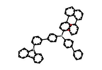 c1ccc(-c2ccc(N(c3ccc(-c4cccc(-n5c6ccccc6c6ccccc65)c4)cc3)c3ccc(-c4cccc5cccc(-c6ccccc6)c45)cc3)cc2)cc1